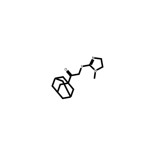 CN1CCN=C1SCC(=O)C12CC3CC(CC(C3)C1)C2